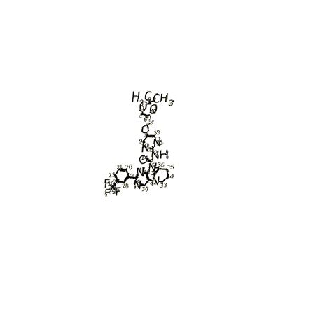 CC1(C)OC[C@@H](COc2cnc(NC(=O)N3c4nc(-c5cccc(C(F)(F)F)c5)ncc4N4CCCC3C4)nc2)O1